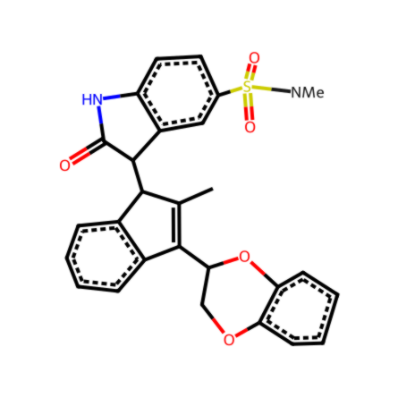 CNS(=O)(=O)c1ccc2c(c1)C(C1C(C)=C(C3COc4ccccc4O3)c3ccccc31)C(=O)N2